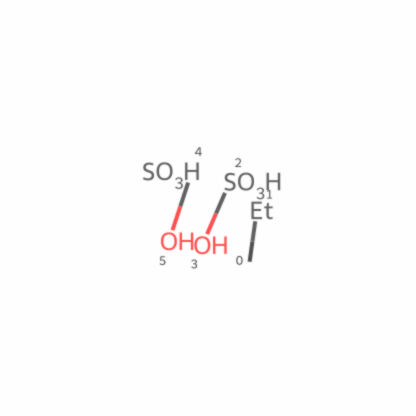 CCC.O=S(=O)(O)O.O=S(=O)(O)O